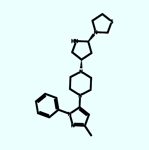 Cc1cc(N2CCN([C@@H]3CN[C@@H](N4CCSC4)C3)CC2)n(-c2ccccc2)n1